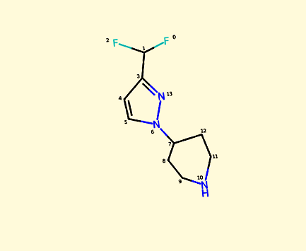 FC(F)c1ccn(C2CCNCC2)n1